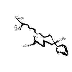 CCCCCCCCCCC(CCCC(CCCCCCCC(CCCCCCCC)[N+](=O)[O-])(c1ccccc1)[N+](=O)[O-])[N+](=O)[O-]